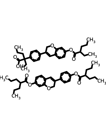 CCCC(CC)C(=O)Oc1ccc2c(c1)OCC(c1ccc(C(CC)(CCC)C(=O)O)cc1)=C2.CCCC(CCC)C(=O)Oc1ccc(C2=Cc3ccc(OC(=O)C(CCC)CCC)cc3OC2)cc1